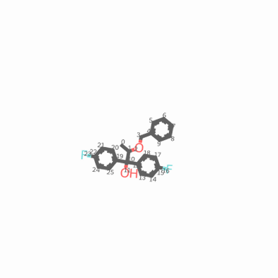 CC(OCc1ccccc1)C(O)(c1ccc(F)cc1)c1ccc(F)cc1